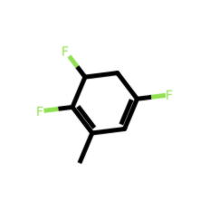 CC1=C(F)C(F)CC(F)=C1